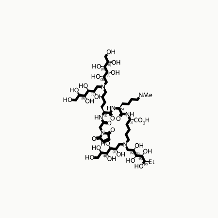 CC[C@@H](O)[C@@H](O)[C@H](O)[C@@H](O)CN(CCCC[C@H](NC(=O)[C@H](CCCCNC)NC(=O)[C@H](CCCCN(C[C@H](O)[C@@H](O)[C@H](O)[C@H](O)CO)C[C@H](O)[C@@H](O)[C@H](O)[C@H](O)CO)NC(=O)CN1C(=O)C=CC1=O)C(=O)O)C[C@H](O)[C@@H](O)[C@H](O)[C@H](O)CO